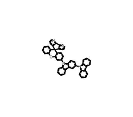 c1ccc2c(c1)Oc1cc(-n3c4ccccc4c4cc(-n5c6ccccc6c6ccccc65)ccc43)ccc1C21c2cccnc2-c2ncccc21